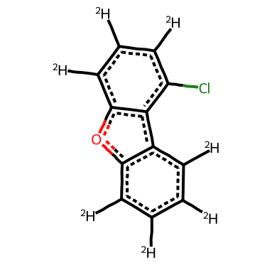 [2H]c1c([2H])c([2H])c2c(oc3c([2H])c([2H])c([2H])c(Cl)c32)c1[2H]